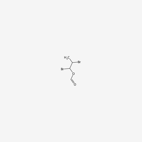 CC(Br)C(Br)OC=O